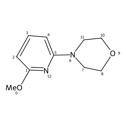 COc1cccc(N2CCOCC2)n1